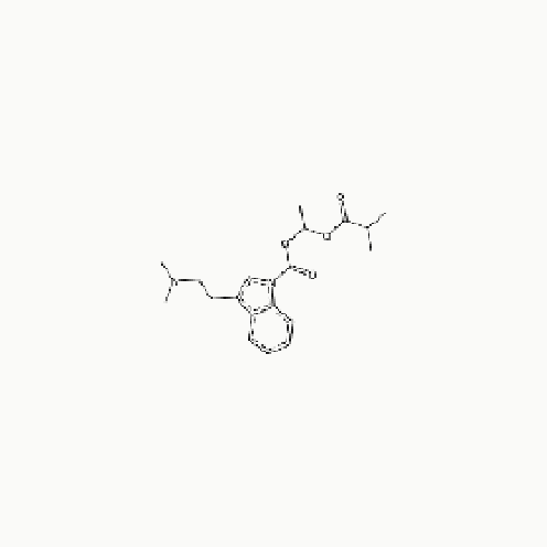 CC(OC(=O)C(C)C)OC(=O)n1cc(CCN(C)C)c2ccccc21